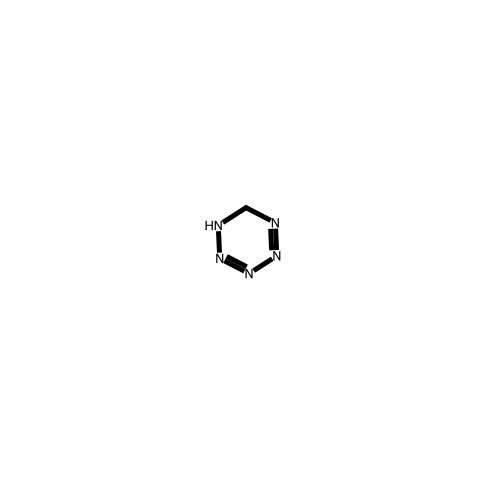 C1N=NN=NN1